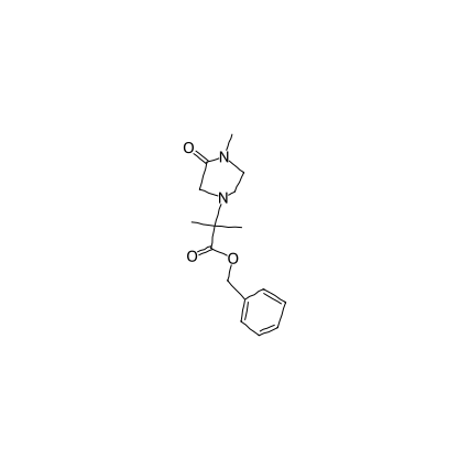 CN1CCN(C(C)(C)C(=O)OCc2ccccc2)CC1=O